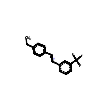 CCc1ccc(/C=C/c2cccc(C(F)(F)F)c2)cc1